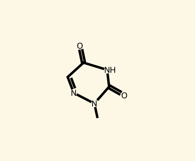 Cn1ncc(=O)[nH]c1=O